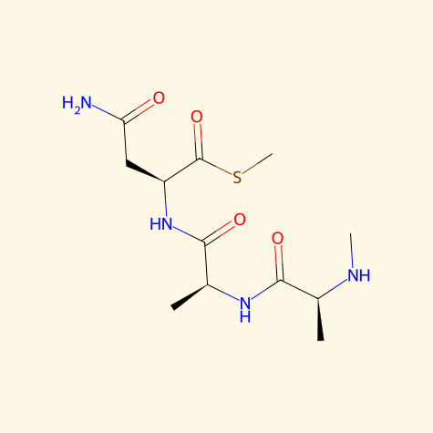 CN[C@@H](C)C(=O)N[C@@H](C)C(=O)N[C@@H](CC(N)=O)C(=O)SC